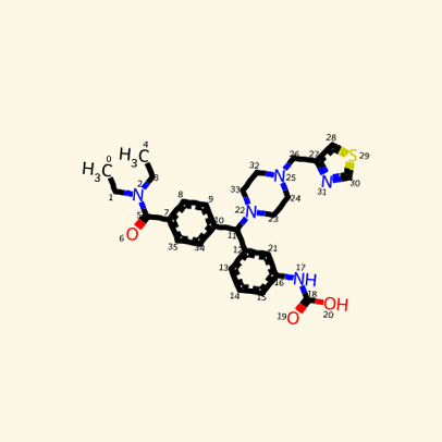 CCN(CC)C(=O)c1ccc(C(c2cccc(NC(=O)O)c2)N2CCN(Cc3cscn3)CC2)cc1